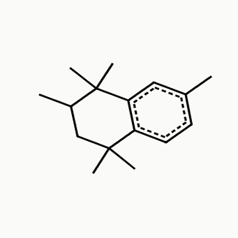 Cc1ccc2c(c1)C(C)(C)C(C)CC2(C)C